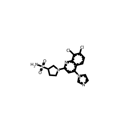 NS(=O)(=O)C1CCN(c2cc(-n3ccnc3)c3ccc(Cl)c(Cl)c3n2)C1